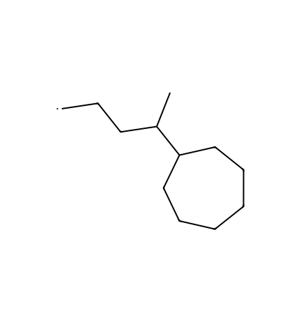 [CH2]CCC(C)C1CCCCCC1